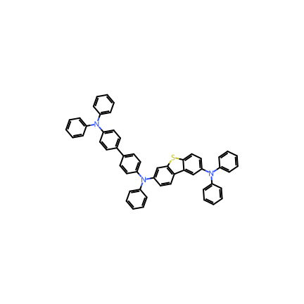 c1ccc(N(c2ccccc2)c2ccc(-c3ccc(N(c4ccccc4)c4ccc5c(c4)sc4ccc(N(c6ccccc6)c6ccccc6)cc45)cc3)cc2)cc1